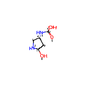 O=C(O)N[C@H]1CNC(O)C1